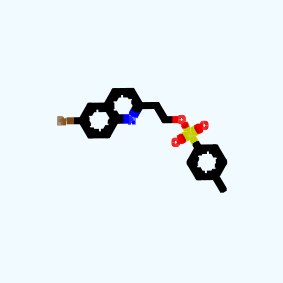 Cc1ccc(S(=O)(=O)OCCc2ccc3cc(Br)ccc3n2)cc1